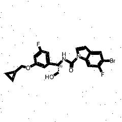 O=C(N[C@H](CO)c1cc(F)cc(OCC2CC2)c1)n1ccc2cc(Br)c(F)cc21